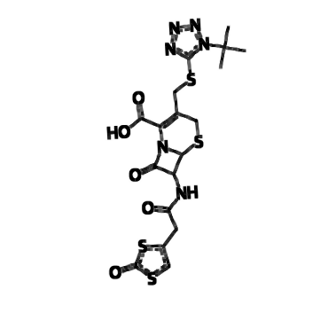 CC(C)(C)n1nnnc1SCC1=C(C(=O)O)N2C(=O)C(NC(=O)Cc3csc(=O)s3)C2SC1